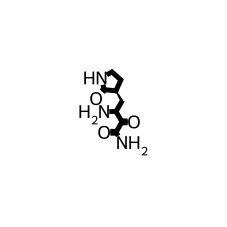 NC(=O)C(=O)C(N)C[C@@H]1CCNC1=O